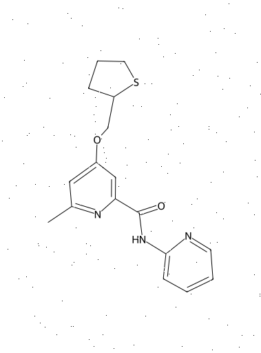 Cc1cc(OCC2CCCS2)cc(C(=O)Nc2ccccn2)n1